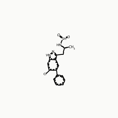 CC(Cc1n[nH]c2cc(Cl)c(-c3ccccc3)cc12)N[SH](=O)=O